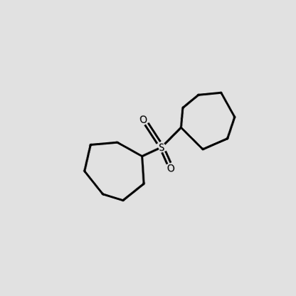 O=S(=O)(C1CCCCCC1)C1CCCCCC1